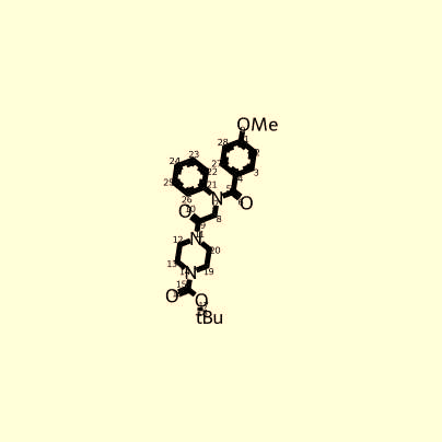 COc1ccc(C(=O)N(CC(=O)N2CCN(C(=O)OC(C)(C)C)CC2)c2ccccc2)cc1